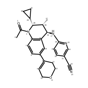 CC(=O)N1c2ccc(C3=CCOCC3)cc2[C@H](Nc2ccc(C#N)cn2)[C@@H](C)[C@H]1C1CC1